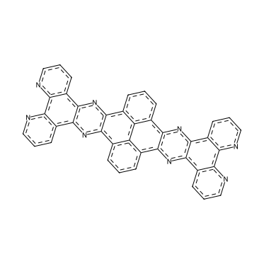 c1cnc2c(c1)c1nc3c4cccc5c6nc7c8cccnc8c8ncccc8c7nc6c6cccc(c3nc1c1cccnc12)c6c45